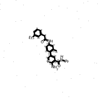 CCc1cccc(CC(=O)Nc2ccc(-c3cnc(N)c(C(=O)NC(C)C)c3)c(C)c2)c1